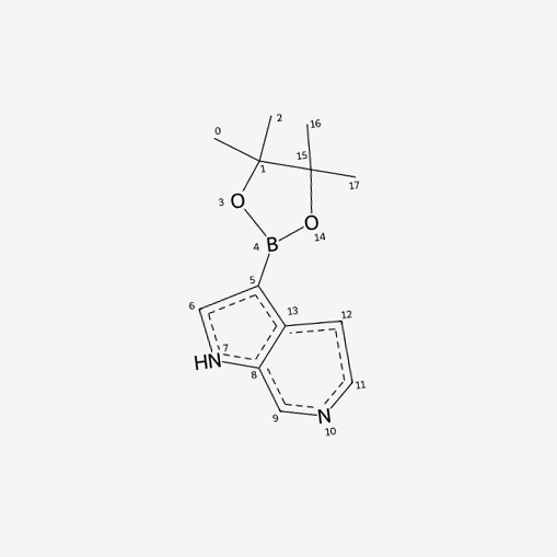 CC1(C)OB(c2c[nH]c3cnccc23)OC1(C)C